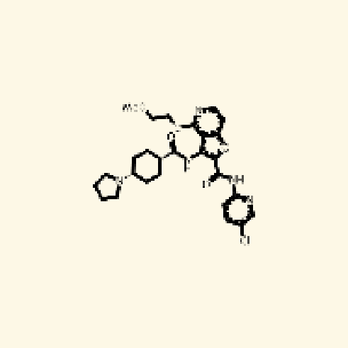 COCCOc1nccc2oc(C(=O)Nc3ccc(Cl)cn3)c(NC(=O)[C@H]3CC[C@H](N4CCCC4)CC3)c12